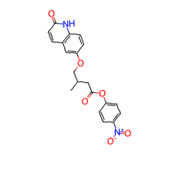 CC(COc1ccc2[nH]c(=O)ccc2c1)CC(=O)Oc1ccc([N+](=O)[O-])cc1